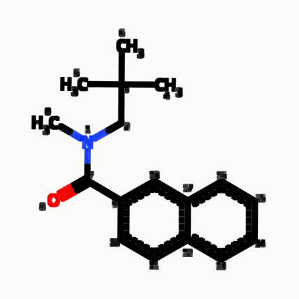 CN(CC(C)(C)C)C(=O)c1ccc2ccccc2c1